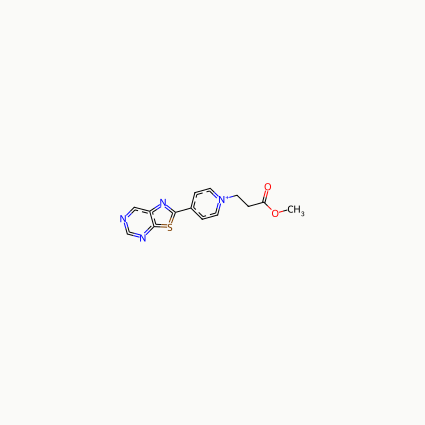 COC(=O)CC[n+]1ccc(-c2nc3cncnc3s2)cc1